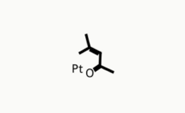 CC(=O)C=C(C)C.[Pt]